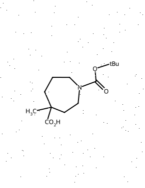 CC(C)(C)OC(=O)N1CCCC(C)(C(=O)O)CC1